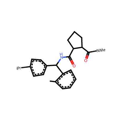 CNC(=O)C1CCCC1C(=O)NC(c1ccc(C(C)C)cc1)c1ccccc1C